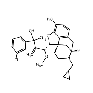 C=C(C(OC)[C@@H]1Oc2c(O)ccc3c2[C@@]12CCN(CC1CC1)[C@@H](C3)C2)C(C)(O)c1cccc(Cl)c1